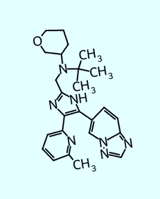 Cc1cccc(-c2nc(CN(C3CCCOC3)C(C)(C)C)[nH]c2-c2ccc3ncnn3c2)n1